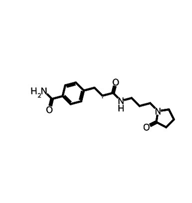 NC(=O)c1ccc(C[CH]C(=O)NCCCN2CCCC2=O)cc1